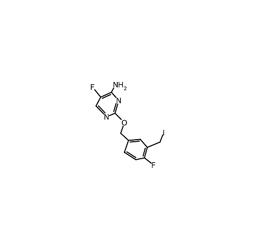 Nc1nc(OCc2ccc(F)c(CI)c2)ncc1F